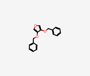 c1ccc(COc2cocc2OCc2ccccc2)cc1